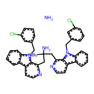 CCCCC(N)(Cc1nccc2c3ccccc3n(Cc3cccc(Cl)c3)c12)Cc1nccc2c3ccccc3n(Cc3cccc(Cl)c3)c12.N